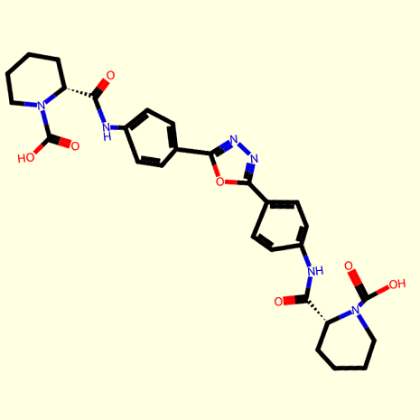 O=C(Nc1ccc(-c2nnc(-c3ccc(NC(=O)[C@H]4CCCCN4C(=O)O)cc3)o2)cc1)[C@H]1CCCCN1C(=O)O